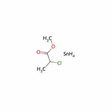 COC(=O)C(C)Cl.[SnH4]